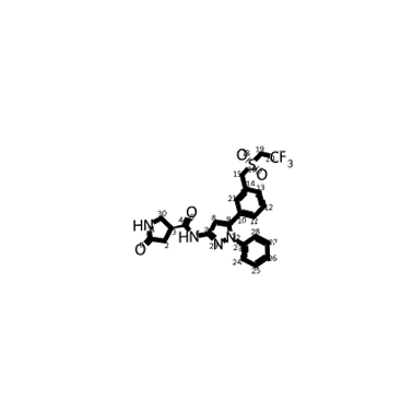 O=C1C[C@H](C(=O)Nc2cc(-c3cccc(CS(=O)(=O)CC(F)(F)F)c3)n(-c3ccccc3)n2)CN1